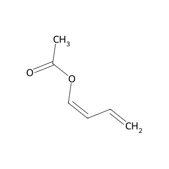 C=C/C=C\OC(C)=O